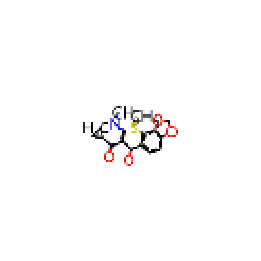 CSc1c(C(=O)C(=CN(C)C)C(=O)C2CC2)ccc2c1OCO2